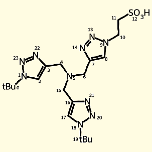 CC(C)(C)n1cc(CN(Cc2cn(CCS(=O)(=O)O)nn2)Cc2cn(C(C)(C)C)nn2)nn1